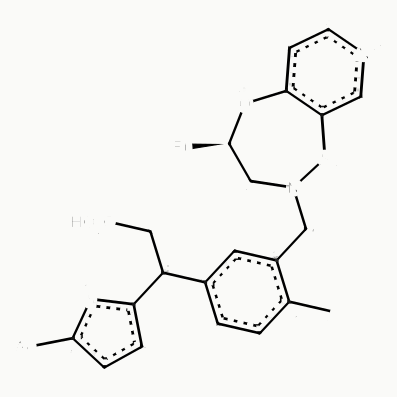 CC[C@@H]1CN(Cc2cc(C(CC(=O)O)c3ccc(C(C)=O)s3)ccc2C)Sc2cnccc2O1